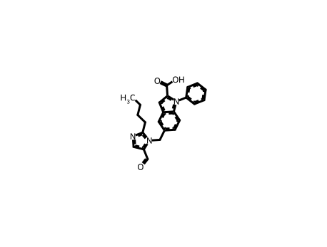 CCCCc1ncc(C=O)n1Cc1ccc2c(c1)cc(C(=O)O)n2-c1ccccc1